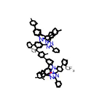 Cc1ccc(-c2ccc3c(c2)c2cc(-c4ccc(C)cc4)ccc2n3-c2cc(-c3ccccc3C(F)(F)F)c(Cc3ccc(-c4ccc5c(c4)c4cc(-c6ccc(C)cc6C)ccc4n5-c4cc(-c5ccccc5C(F)(F)F)ccc4-c4nc(-c5ccccc5)nc(-c5ccccc5)n4)c(C)c3)cc2-c2nc(-c3ccccc3)nc(-c3ccccc3)n2)cc1